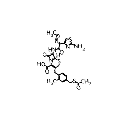 CON=C(C(=O)N[C@@H]1C(=O)N2C(C(=O)O)=C(Cc3ccc(CSC(C)=O)cc3C)CS[C@H]12)c1csc(N)n1